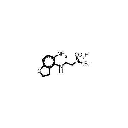 CC(C)(C)N(CCNc1c(N)ccc2c1CCO2)C(=O)O